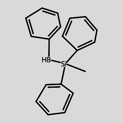 C[Si](Bc1ccccc1)(c1ccccc1)c1ccccc1